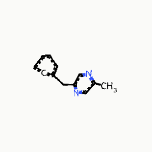 Cc1cnc(Cc2ccccc2)cn1